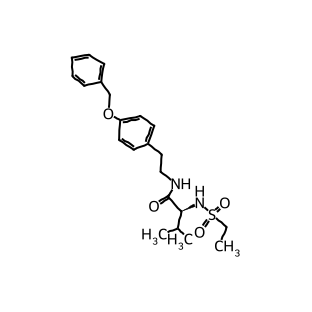 CCS(=O)(=O)N[C@H](C(=O)NCCc1ccc(OCc2ccccc2)cc1)C(C)C